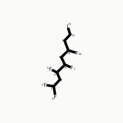 FC(F)CC(F)C(F)CC(F)CCI